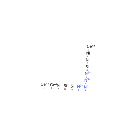 [Ge+4].[Ge+4].[Ge+4].[N-3].[N-3].[N-3].[N-3].[Ni].[Ni].[Ni].[Si].[Si].[Si]